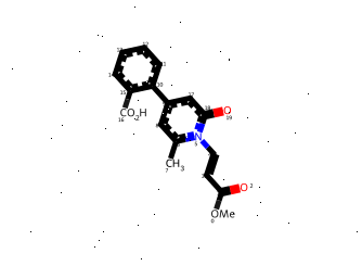 COC(=O)C=Cn1c(C)cc(-c2ccccc2C(=O)O)cc1=O